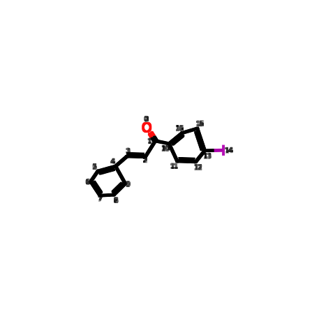 O=C(/C=C/c1ccccc1)c1ccc(I)cc1